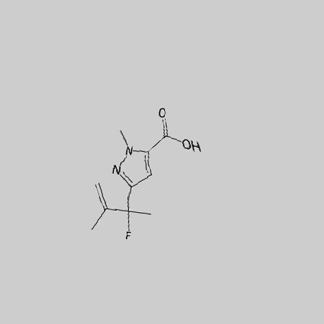 C=C(C)C(C)(F)c1cc(C(=O)O)n(C)n1